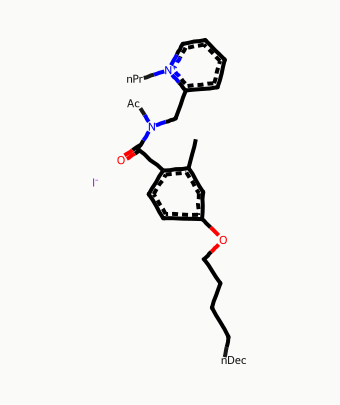 CCCCCCCCCCCCCCOc1ccc(C(=O)N(Cc2cccc[n+]2CCC)C(C)=O)c(C)c1.[I-]